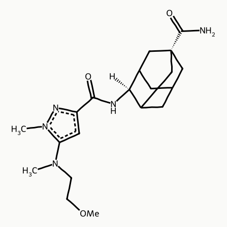 COCCN(C)c1cc(C(=O)N[C@H]2C3CC4CC2C[C@](C(N)=O)(C4)C3)nn1C